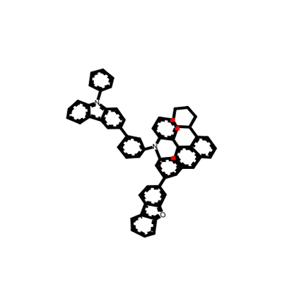 c1ccc(-n2c3ccccc3c3cc(-c4cccc(N(c5cccc(-c6ccc7c(c6)oc6ccccc67)c5)c5ccccc5-c5cccc6cccc(C7CCCCC7)c56)c4)ccc32)cc1